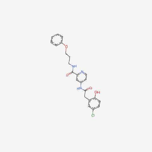 O=C(Cc1cc(Cl)ccc1O)Nc1ccnc(C(=O)NCCCOc2ccccc2)c1